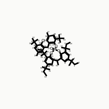 CCC(C)(C)c1cc2c(c(C(C)(C)CC)c1)OP(=O)(Oc1c(Cc3cc(C)cc(C(C)(C)C)c3O)cc(C)cc1C(C)(C)C)Oc1c(cc(C(C)(C)CC)cc1C(C)(C)CC)C2C